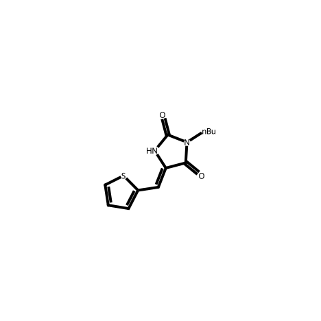 CCCCN1C(=O)NC(=Cc2cccs2)C1=O